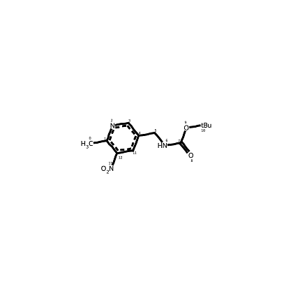 Cc1ncc(CNC(=O)OC(C)(C)C)cc1[N+](=O)[O-]